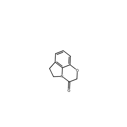 O=C1COc2cccc3c2N1CC3